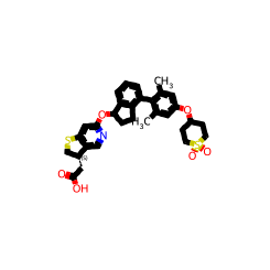 Cc1cc(OC2CCS(=O)(=O)CC2)cc(C)c1-c1cccc2c1CCC2Oc1cc2c(cn1)[C@H](CC(=O)O)CS2